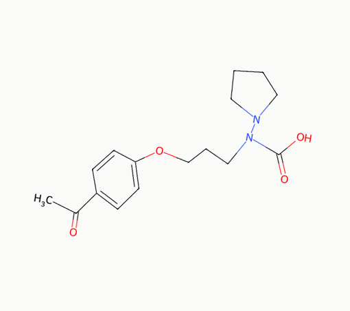 CC(=O)c1ccc(OCCCN(C(=O)O)N2CCCC2)cc1